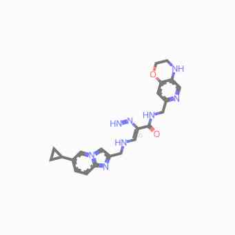 N=N/C(=C\NCc1cn2cc(C3CC3)ccc2n1)C(=O)NCc1cc2c(cn1)NCCO2